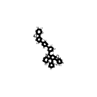 c1ccc(-c2c3c(cc4c(-c5cccc(-c6ccc(-c7ccc8oc9ccccc9c8c7)cc6)c5)nc5ccccc5c24)oc2ccccc23)cc1